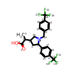 CC(C(=O)O)C1CC(c2ccc(C(F)(F)F)cc2)N(Cc2ccc(C(F)(F)F)cc2)C1